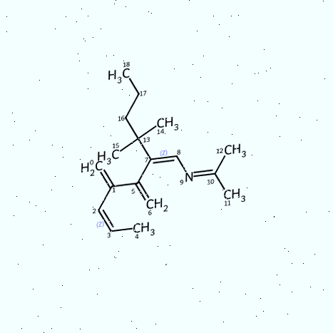 C=C(/C=C\C)C(=C)/C(=C\N=C(C)C)C(C)(C)CCC